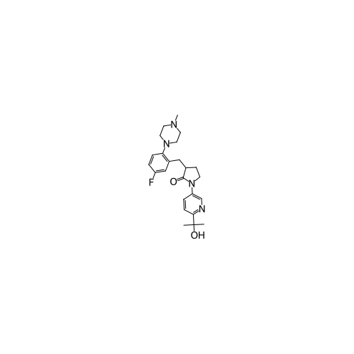 CN1CCN(c2ccc(F)cc2CC2CCN(c3ccc(C(C)(C)O)nc3)C2=O)CC1